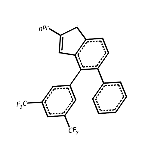 CCCC1=Cc2c(ccc(-c3ccccc3)c2-c2cc(C(F)(F)F)cc(C(F)(F)F)c2)[CH]1